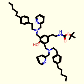 CCCCCc1ccc(CCN(Cc2ccccn2)Cc2cc(CCNC(=O)OC(C)(C)C)cc(CN(CCc3ccc(CCCCC)cc3)Cc3ccccn3)c2O)cc1